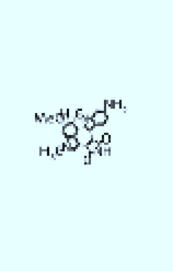 COc1ccc2c(C3=C(c4cn(C)c5cc(N)ccc45)C(=O)NC3=O)cn(C)c2c1